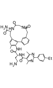 CCc1ccc(-c2nc(C)c(C(=O)N[C@@H](CCN)C(=O)Nc3c(C)cc4cc3-c3cccc(c3)CC(=O)NCC(=O)NC(C(N)=O)C4)c(C)n2)cc1